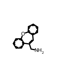 NCC1=Cc2ccccc2Oc2ccccc21